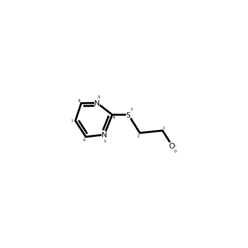 [O]CCSc1ncccn1